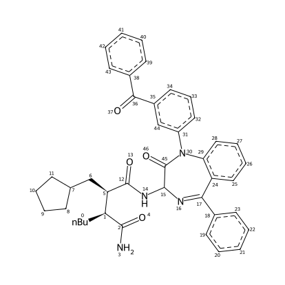 CCCC[C@H](C(N)=O)[C@@H](CC1CCCC1)C(=O)NC1N=C(c2ccccc2)c2ccccc2N(c2cccc(C(=O)c3ccccc3)c2)C1=O